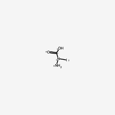 NN(I)C(=O)O